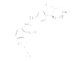 CCCCc1c(O)ccc(C=NNc2ccc(C3=NNC(=O)CC3C)cc2)c1O